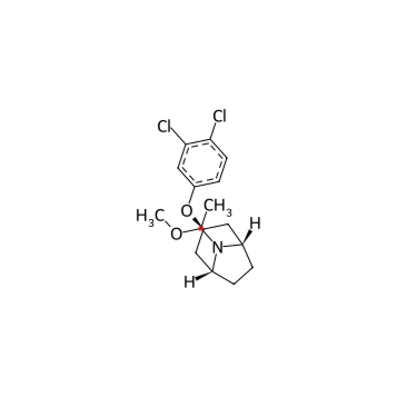 COC(C)N1[C@@H]2CC[C@H]1C[C@H](Oc1ccc(Cl)c(Cl)c1)C2